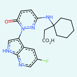 O=C(O)CC1(Nc2ccc(=O)n(-c3c[nH]c4ncc(F)cc34)n2)CCCCC1